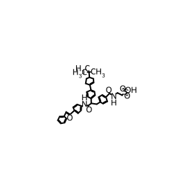 CC(C)(C)C1CC=C(c2ccc(C(Cc3ccc(C(=O)NCCS(=O)(=O)O)cc3)C(=O)Nc3ccc(-c4cc5ccccc5o4)cc3)cc2)CC1